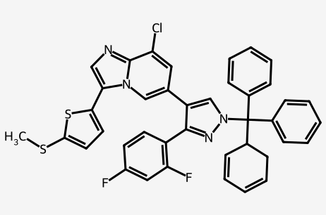 CSc1ccc(-c2cnc3c(Cl)cc(-c4cn(C(c5ccccc5)(c5ccccc5)C5C=CC=CC5)nc4-c4ccc(F)cc4F)cn23)s1